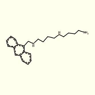 NCCCCNCCCCNCc1c2ccccc2cc2ccccc12